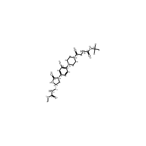 COC(=S)NC[C@H]1CN(c2ccc(N3CCN(C(=O)CNC(=O)OC(C)(C)C)CC3)c(F)c2)C(=O)O1